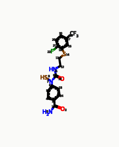 NC(=O)c1ccc(N(S)C(=O)NCCSc2cc(C(F)(F)F)ccc2F)cc1